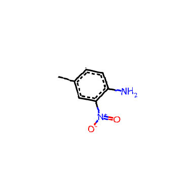 Cc1[c]cc(N)c([N+](=O)[O-])c1